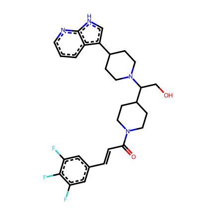 O=C(C=Cc1cc(F)c(F)c(F)c1)N1CCC(C(CO)N2CCC(c3c[nH]c4ncccc34)CC2)CC1